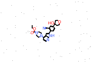 CCOC(=O)N1CCN(c2ccnc3[nH]c(-c4ccc(C5(O)CCOCC5)cc4C#N)cc23)CC1